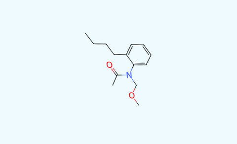 CCCCc1ccccc1N(COC)C(C)=O